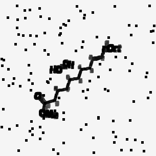 CCCCCCCCC=CCCCCCCCC(=O)OC.OO